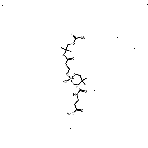 COC(=O)CCNC(=O)[C@@H]1O[PH](O)(OCOC(=O)NC(C)(C)COC(=O)C(C)(C)C)OCC1(C)C